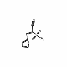 CS(=O)(=O)C(C#N)=Cc1cccs1